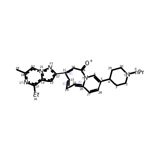 CCCN1CCC(C2=CN3C(=O)\C=C(c4cc5c(CC)nc(C)cn5n4)/C=C/C=C/3C=C2)CC1